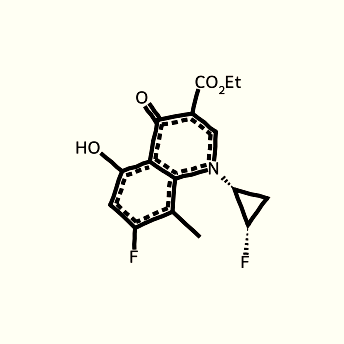 CCOC(=O)c1cn([C@@H]2C[C@@H]2F)c2c(C)c(F)cc(O)c2c1=O